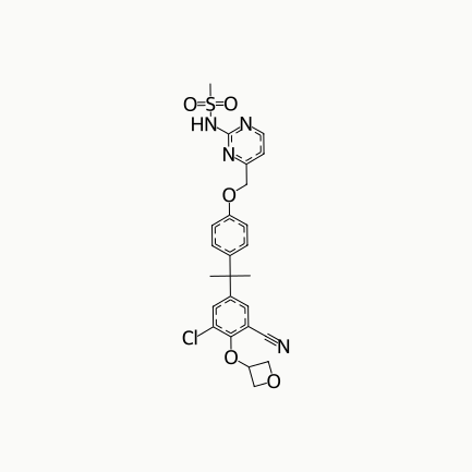 CC(C)(c1ccc(OCc2ccnc(NS(C)(=O)=O)n2)cc1)c1cc(Cl)c(OC2COC2)c(C#N)c1